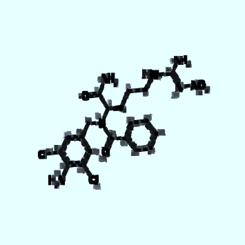 NC(=O)[C@@H](CCCNC(N)=N[N+](=O)[O-])N(Cc1cc(Cl)c(N)c(Cl)c1)C(=O)c1ccccc1